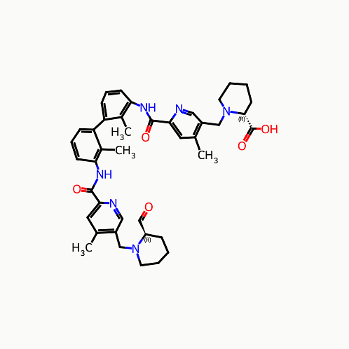 Cc1cc(C(=O)Nc2cccc(-c3cccc(NC(=O)c4cc(C)c(CN5CCCC[C@@H]5C=O)cn4)c3C)c2C)ncc1CN1CCCC[C@@H]1C(=O)O